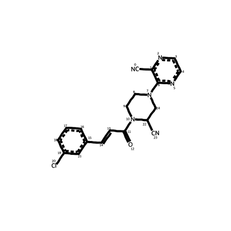 N#Cc1nccnc1N1CCN(C(=O)C=Cc2cccc(Cl)c2)C(C#N)C1